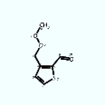 COOCc1ccsc1C=O